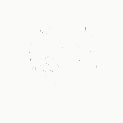 CO[C@@H]1/C=C\O[C@@]2(C)Oc3c(C)c(O)c4c(c3C2=O)C2=NC3(CCN(CC(C)C)CC3)NC2=C(NC(=O)/C(C)=C\C=C/[C@@H](C)[C@@H](O)[C@H](C)[C@H](O)[C@H](C)[C@H](OC(C)=O)[C@@H]1C)C4=O.NC[C@H]1O[C@H](O[C@H]2[C@H](O)[C@@H](O[C@H]3O[C@H](CO)[C@@H](O)[C@H](N)[C@H]3O)[C@H](N)C[C@@H]2N)[C@H](N)C[C@@H]1O